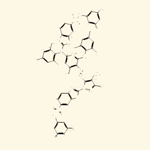 Cc1cc(C)c(Nc2nc(N(c3nc4ccc(S(=O)(=O)Nc5cc(C(=O)O)cc(C(=O)O)c5)cc4s3)c3c(C)cc(C)cc3C)cc(C)c2N=Nc2c(C#N)c(C(C)(C)C)nn2-c2nc3ccc(S(=O)(=O)Nc4cc(C(=O)O)cc(C(=O)O)c4)cc3s2)c(C)c1